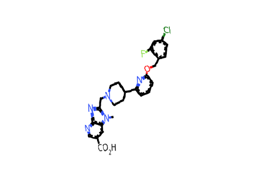 Cn1c(CN2CCC(c3cccc(OCc4ccc(Cl)cc4F)n3)CC2)nc2ncc(C(=O)O)cc21